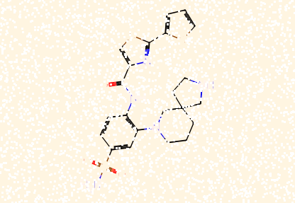 NS(=O)(=O)c1ccc(NC(=O)c2csc(-c3cccs3)n2)c(N2CCCC3(CCNC3)C2)c1